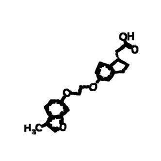 Cc1coc2cc(OCCOc3ccc4c(c3)CC[C@H]4CC(=O)O)ccc12